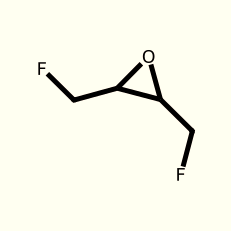 FCC1OC1CF